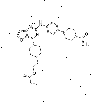 CC(=O)N1CCN(c2ccc(Nc3nc(N4CCC(CCOC(N)=O)CC4)c4occc4n3)cc2)CC1